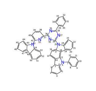 C1=CCC2C(=C1)N(c1ccccc1)c1c2ccc2c1c1ccccc1n2-c1nc(-c2ccccc2)nc(-c2cccc(-n3c4ccccc4c4ccccc43)n2)n1